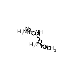 Cc1cc(C=Cc2n[nH]c3cc(-c4ccnc(N)n4)ccc23)ccc1CN1CCN(C)CC1